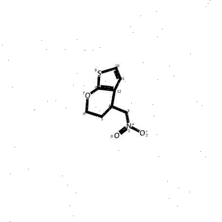 O=[N+]([O-])CC1CCOc2sccc21